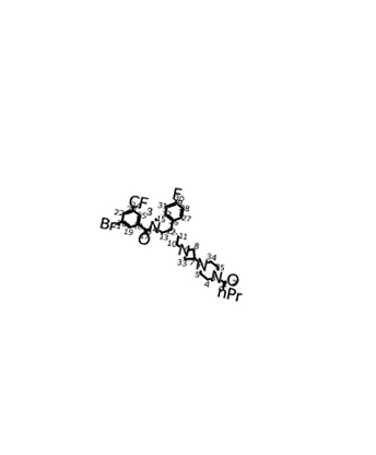 CCCC(=O)N1CCN(C2CN(CC[C@H](CN(C)C(=O)c3cc(Br)cc(C(F)(F)F)c3)c3ccc(F)cc3)C2)CC1